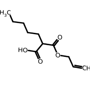 C=CCOC(=O)C(CCCCC)C(=O)O